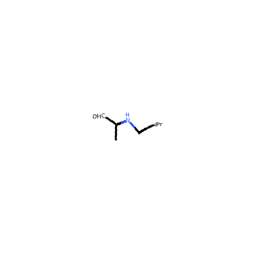 CC(C)CNC(C)C=O